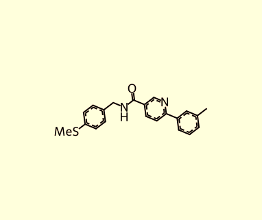 CSc1ccc(CNC(=O)c2ccc(-c3cccc(C)c3)nc2)cc1